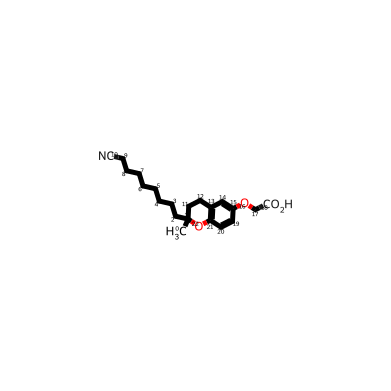 CC1(CCCCCCCCC#N)CCc2cc(OCC(=O)O)ccc2O1